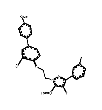 CCOc1c(F)c(-c2cccc(C)c2)nn1CCOc1ccc(-c2ccc(OC)cc2)cc1Cl